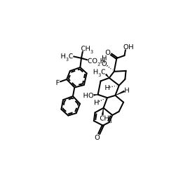 CC(C)(C(=O)O)c1ccc(-c2ccccc2)c(F)c1.C[C@]12C=CC(=O)C=C1CC[C@@H]1[C@@H]2[C@@H](O)C[C@@]2(C)[C@H]1CC[C@]2(O)C(=O)CO